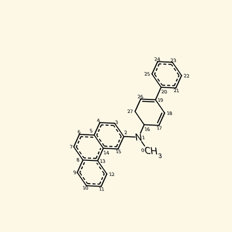 CN(c1ccc2ccc3ccccc3c2c1)C1C=CC(c2ccccc2)=CC1